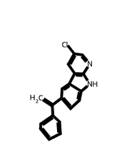 C=C(c1ccccc1)c1ccc2[nH]c3ncc(Cl)cc3c2c1